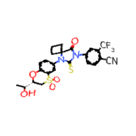 CC(O)[C@H]1CS(=O)(=O)c2cc(N3C(=S)N(c4ccc(C#N)c(C(F)(F)F)c4)C(=O)C34CCC4)ccc2O1